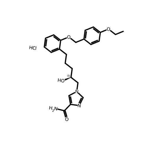 CCOc1ccc(COc2ccccc2CCC[C@H](O)Cn2cnc(C(N)=O)c2)cc1.Cl